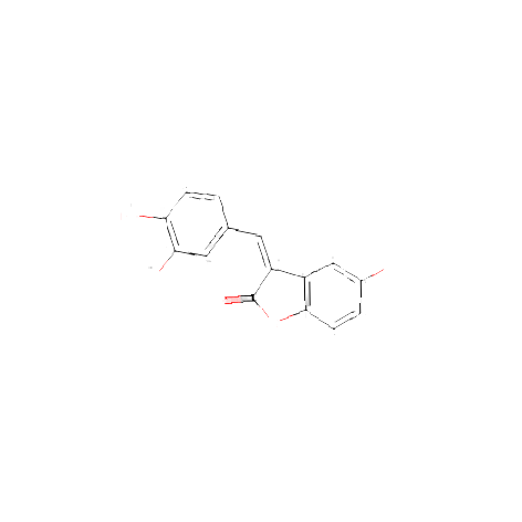 O=C1Oc2ccc(O)cc2C1=Cc1ccc(O)c(O)c1